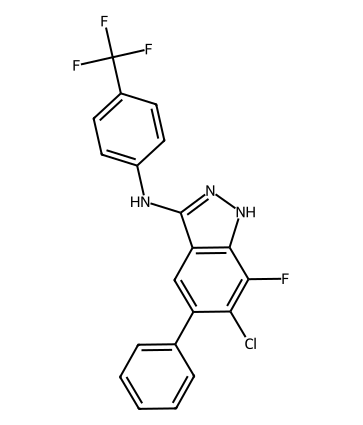 Fc1c(Cl)c(-c2ccccc2)cc2c(Nc3ccc(C(F)(F)F)cc3)n[nH]c12